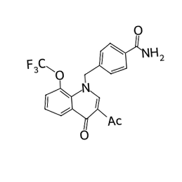 CC(=O)c1cn(Cc2ccc(C(N)=O)cc2)c2c(OC(F)(F)F)cccc2c1=O